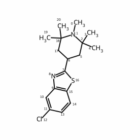 CN1C(C)(C)CC(c2nc3cc(Cl)ccc3s2)CC1(C)C